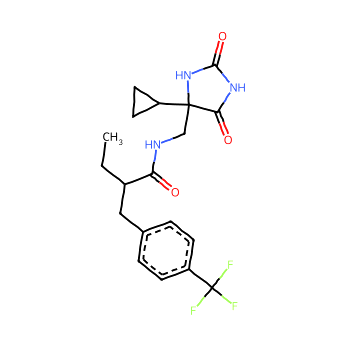 CCC(Cc1ccc(C(F)(F)F)cc1)C(=O)NCC1(C2CC2)NC(=O)NC1=O